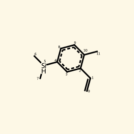 C=Cc1cc([SiH](C)C)ccc1C